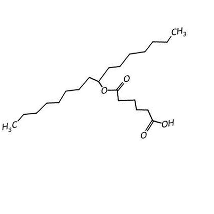 CCCCCCCCC(CCCCCCC)OC(=O)CCCCC(=O)O